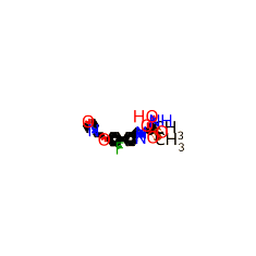 C[C@@](CCn1cc2cc(-c3ccc(OCCN4CCOCC4)cc3F)ccc2n1)(C(=O)NO)S(C)(=O)=O